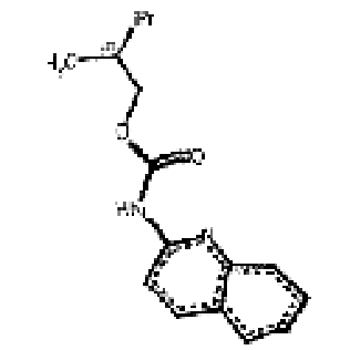 CC(C)[C@H](C)COC(=O)Nc1ccc2ccccc2n1